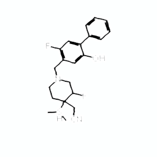 C[SH](C)C1(CC#N)CCN(Cc2cc(O)c(-c3ccccc3)cc2F)CC1F